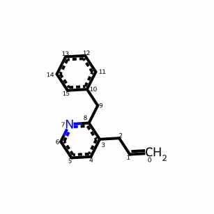 C=CCc1cccnc1Cc1ccccc1